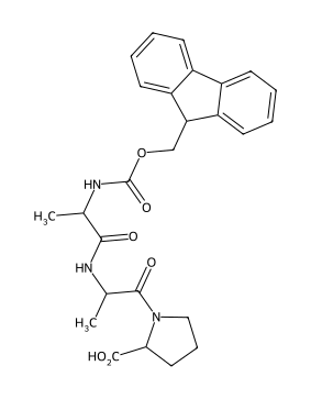 CC(NC(=O)OCC1c2ccccc2-c2ccccc21)C(=O)NC(C)C(=O)N1CCCC1C(=O)O